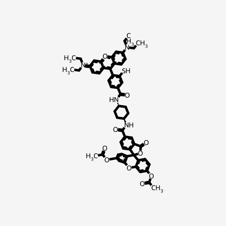 CCN(CC)c1ccc2c(-c3ccc(C(=O)N[C@H]4CC[C@H](NC(=O)c5ccc6c(c5)C(=O)OC65c6ccc(OC(C)=O)cc6Oc6cc(OC(C)=O)ccc65)CC4)cc3S)c3ccc(=[N+](CC)CC)cc-3oc2c1